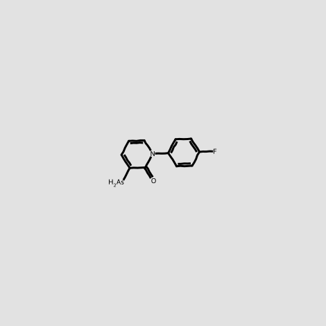 O=c1c([AsH2])cccn1-c1ccc(F)cc1